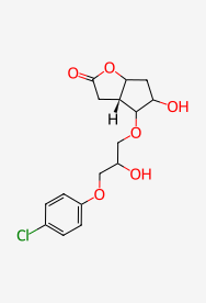 O=C1C[C@@H]2C(CC(O)C2OCC(O)COc2ccc(Cl)cc2)O1